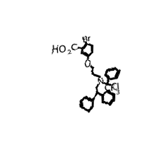 O=C(O)c1cc(OCCCN(CC(c2ccccc2)c2ccccc2)C(Cl)(c2ccccc2)C(F)(F)F)ccc1Br